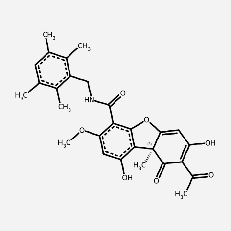 COc1cc(O)c2c(c1C(=O)NCc1c(C)c(C)cc(C)c1C)OC1=CC(O)=C(C(C)=O)C(=O)[C@]12C